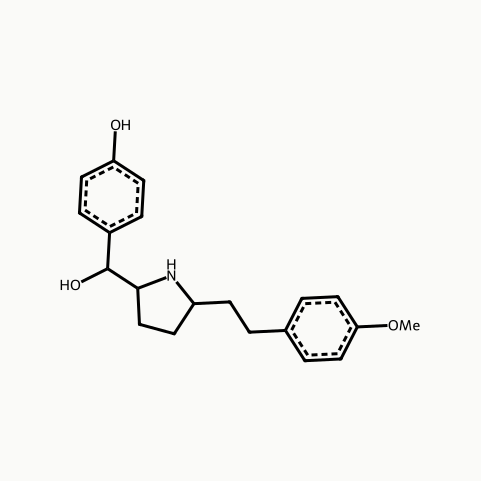 COc1ccc(CCC2CCC(C(O)c3ccc(O)cc3)N2)cc1